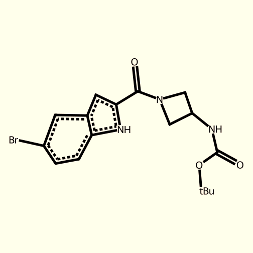 CC(C)(C)OC(=O)NC1CN(C(=O)c2cc3cc(Br)ccc3[nH]2)C1